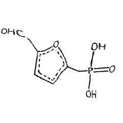 O=Cc1ccc(P(=O)(O)O)o1